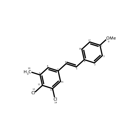 COc1ccc(/C=C/c2cc(C)c(Cl)c(Cl)c2)cc1